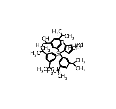 CC(C)c1cc(C(C)C)cc([Si](C2=[C]([Ti])CC=C2)(c2cc(C(C)C)cc(C(C)C)c2)c2cc(C(C)C)cc(C(C)C)c2)c1.Cl.Cl.Cl